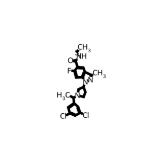 CSNC(=O)c1cc2c(C)nn(C3CCN(C(C)c4cc(Cl)cc(Cl)c4)C3)c2cc1F